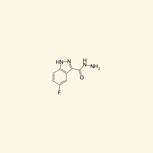 NNC(=O)c1n[nH]c2ccc(F)cc12